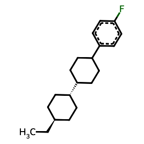 CC[C@H]1CC[C@H](C2CCC(c3ccc(F)cc3)CC2)CC1